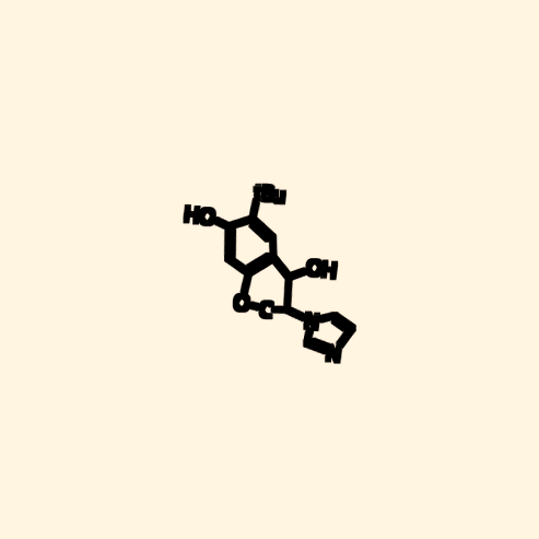 CC(C)(C)c1cc2c(cc1O)OCC(n1ccnc1)C2O